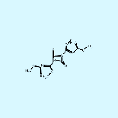 COC(=O)N=C(OC)N1C(=O)N(C(=NC(=O)OC)OC)C1=O